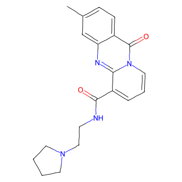 Cc1ccc2c(=O)n3cccc(C(=O)NCCN4CCCC4)c3nc2c1